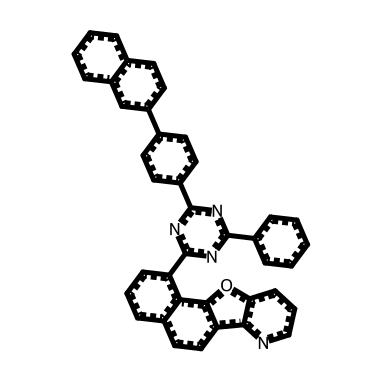 c1ccc(-c2nc(-c3ccc(-c4ccc5ccccc5c4)cc3)nc(-c3cccc4ccc5c6ncccc6oc5c34)n2)cc1